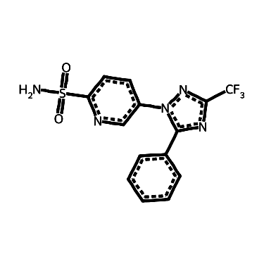 NS(=O)(=O)c1ccc(-n2nc(C(F)(F)F)nc2-c2ccccc2)cn1